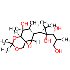 CC1[C@H]([C@@H]2C(C)(C)[C@]2(O)[C@H](O)[C@@H](C)CO)[C@@H]2O[C@@]23COC(C)(C)O[C@H]3[C@@]1(C)O